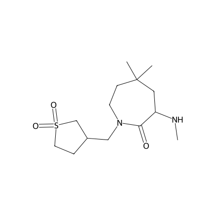 CNC1CC(C)(C)CCN(CC2CCS(=O)(=O)C2)C1=O